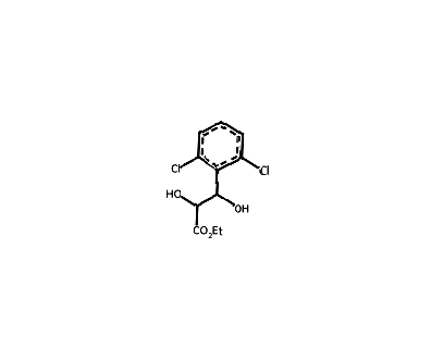 CCOC(=O)C(O)C(O)c1c(Cl)cccc1Cl